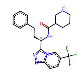 O=C(N[C@H](CCc1ccccc1)c1nnc2ccc(C(F)(F)F)cn12)C1CCCNC1